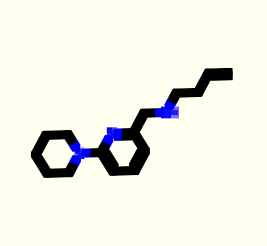 C=CCCNCc1cccc(N2CCCCC2)n1